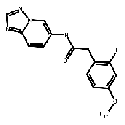 O=C(Cc1ccc(OC(F)(F)F)cc1F)Nc1ccc2ncnn2c1